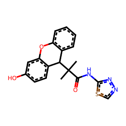 CC(C)(C(=O)Nc1nncs1)C1c2ccccc2Oc2cc(O)ccc21